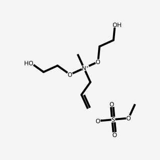 C=CC[N+](C)(OCCO)OCCO.COS(=O)(=O)[O-]